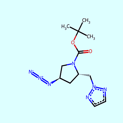 CC(C)(C)OC(=O)N1C[C@H](N=[N+]=[N-])C[C@H]1Cn1nccn1